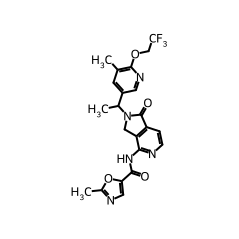 Cc1ncc(C(=O)Nc2nccc3c2CN(C(C)c2cnc(OCC(F)(F)F)c(C)c2)C3=O)o1